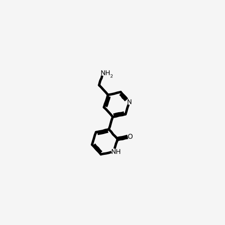 NCc1cncc(-c2ccc[nH]c2=O)c1